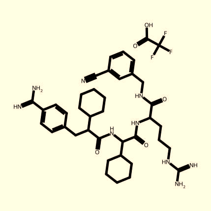 N#Cc1cccc(CNC(=O)C(CCCNC(=N)N)NC(=O)C(NC(=O)C(Cc2ccc(C(=N)N)cc2)C2CCCCC2)C2CCCCC2)c1.O=C(O)C(F)(F)F